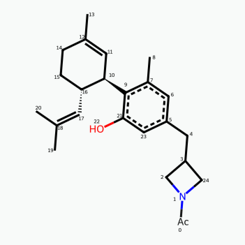 CC(=O)N1CC(Cc2cc(C)c([C@@H]3C=C(C)CC[C@H]3C=C(C)C)c(O)c2)C1